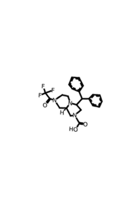 O=C(O)N1CC(C(c2ccccc2)c2ccccc2)N2CCN(C(=O)C(F)(F)F)C[C@H]2C1